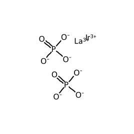 O=P([O-])([O-])[O-].O=P([O-])([O-])[O-].[Ir+3].[La+3]